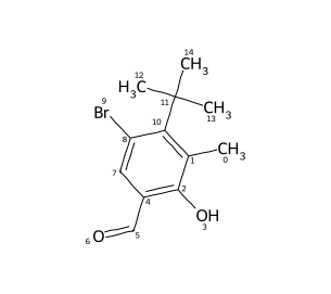 Cc1c(O)c(C=O)cc(Br)c1C(C)(C)C